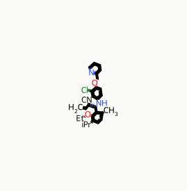 C=C/C(C#N)=C(/Nc1ccc(OCc2ccccn2)c(Cl)c1)c1c(C)ccc(C(C)C)c1OCC